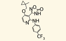 CC1(COc2ccnc(Nc3ccc(C(F)(F)F)cc3)c2-c2noc(=O)[nH]2)CC1